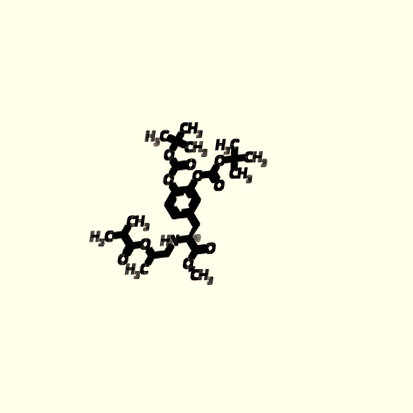 COC(=O)[C@H](Cc1ccc(OC(=O)OC(C)(C)C)c(OC(=O)OC(C)(C)C)c1)NCC(C)OC(=O)C(C)C